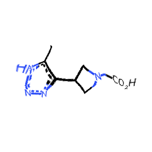 Cc1[nH]nnc1C1CN(C(=O)O)C1